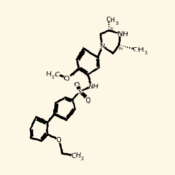 CCOc1ccccc1-c1ccc(S(=O)(=O)Nc2cc(N3C[C@@H](C)N[C@@H](C)C3)ccc2OC)cc1